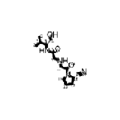 CC(C)[C@H](CO)NC(=O)CNCC(=O)N1CCC[C@H]1C#N